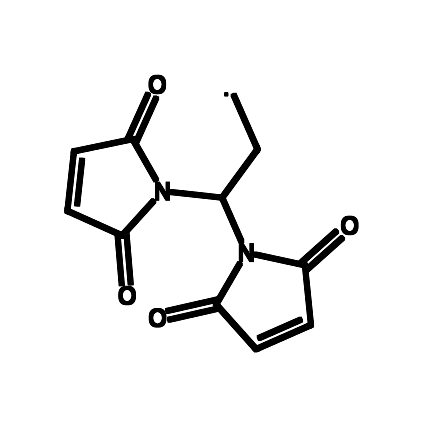 [CH2]CC(N1C(=O)C=CC1=O)N1C(=O)C=CC1=O